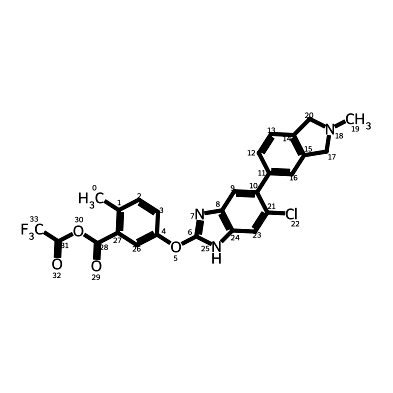 Cc1ccc(Oc2nc3cc(-c4ccc5c(c4)CN(C)C5)c(Cl)cc3[nH]2)cc1C(=O)OC(=O)C(F)(F)F